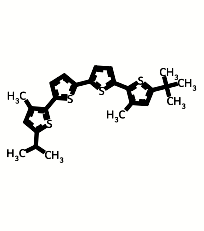 Cc1cc(C(C)C)sc1-c1ccc(-c2ccc(-c3sc(C(C)(C)C)cc3C)s2)s1